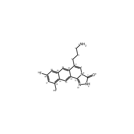 NCCCc1cn2c(=O)[nH]nc2c2cc3c(F)cc(F)cc3cc12